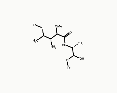 CCOC(O)[C@@H](C)NC(=O)C(OC)[C@@H](N)C(C)SCC